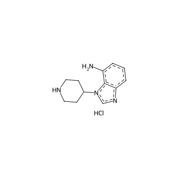 Cl.Nc1cccc2ncn(C3CCNCC3)c12